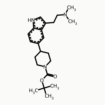 CN(C)CCc1c[nH]c2ccc(C3CCN(C(=O)OC(C)(C)C)CC3)cc12